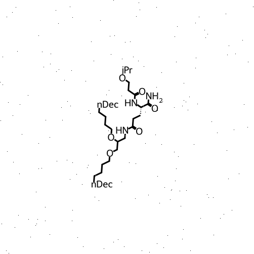 CCCCCCCCCCCCCCOCC(CNC(=O)CC[C@H](NC(=O)CCOC(C)C)C(N)=O)OCCCCCCCCCCCCCC